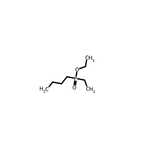 CCCCP(=O)(CC)OCC